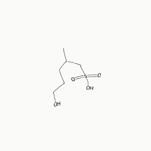 C[C](CCCO)CS(=O)(=O)O